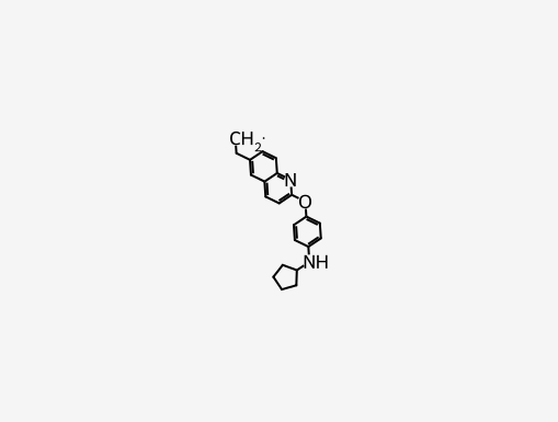 [CH2]Cc1ccc2nc(Oc3ccc(NC4CCCC4)cc3)ccc2c1